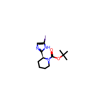 CC(C)(C)OC(=O)N1CCCC[C@H]1c1ncc(I)[nH]1